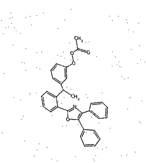 CC(=O)OOc1cccc(C(C)c2ccccc2-c2nc(-c3ccccc3)c(-c3ccccc3)o2)c1